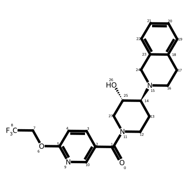 O=C(c1ccc(OCC(F)(F)F)nc1)N1CC[C@H](N2CCc3ccccc3C2)[C@@H](O)C1